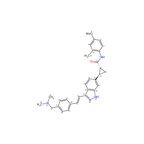 COc1ccc(NC(=O)[C@@H]2C[C@H]2c2ccc3c(/C=C/c4ccc(CN(C)C)cc4)n[nH]c3c2)c(C)c1